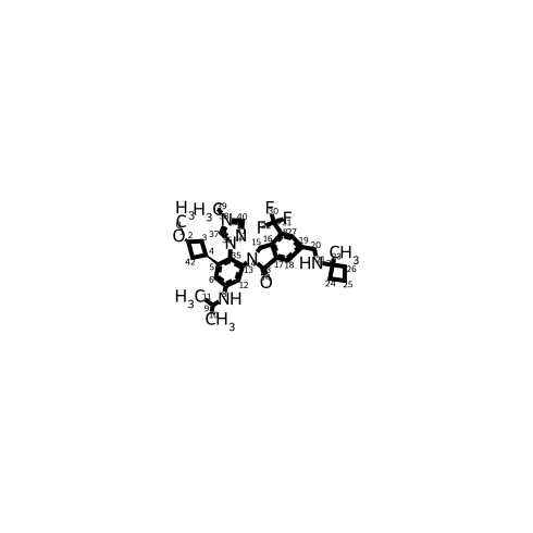 CO[C@H]1C[C@@H](c2cc(NC(C)C)cc(N3Cc4c(cc(CNC5(C)CCC5)cc4C(F)(F)F)C3=O)c2-[n+]2cn(C)cn2)C1